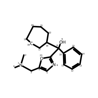 CN(C)Cc1cnc(C(O)(c2ccccc2)C2CCCCCC2)o1